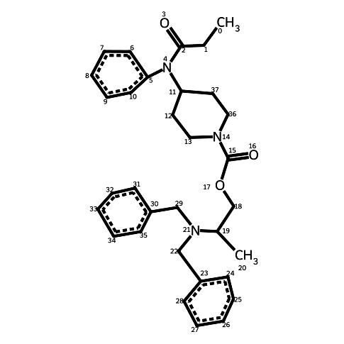 CCC(=O)N(c1ccccc1)C1CCN(C(=O)OCC(C)N(Cc2ccccc2)Cc2ccccc2)CC1